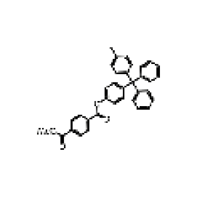 COC(=O)c1ccc(C(=O)Oc2ccc(C(c3ccccc3)(c3ccccc3)c3ccc(C)cc3)cc2)cc1